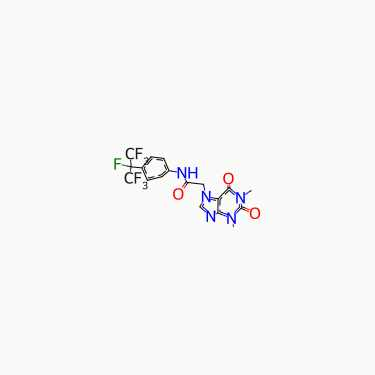 Cn1c(=O)c2c(ncn2CC(=O)Nc2ccc(C(F)(C(F)(F)F)C(F)(F)F)cc2)n(C)c1=O